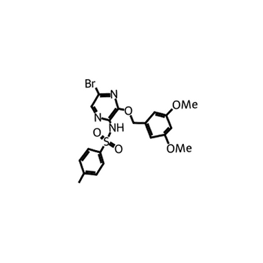 COc1cc(COc2nc(Br)cnc2NS(=O)(=O)c2ccc(C)cc2)cc(OC)c1